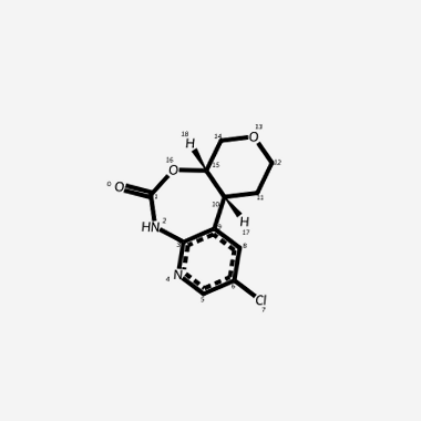 O=C1Nc2ncc(Cl)cc2[C@H]2CCOC[C@H]2O1